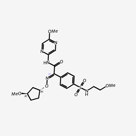 COCCNS(=O)(=O)c1ccc(/C(=N\O[C@@H]2CC[C@@H](OC)C2)C(=O)Nc2cnc(OC)cn2)cc1